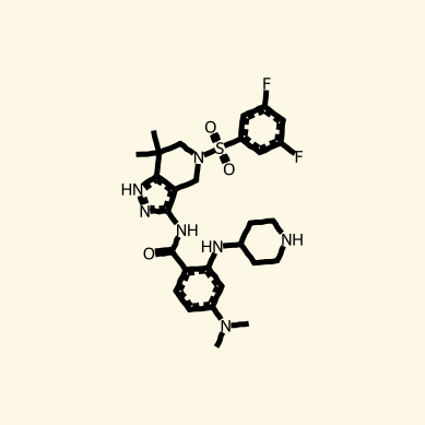 CN(C)c1ccc(C(=O)Nc2n[nH]c3c2CN(S(=O)(=O)c2cc(F)cc(F)c2)CC3(C)C)c(NC2CCNCC2)c1